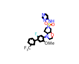 COc1cc(-c2cccc(C(F)(F)F)c2)c(F)cc1N1CCOC2CN(S(=O)(=O)Nc3ccncn3)CCC21